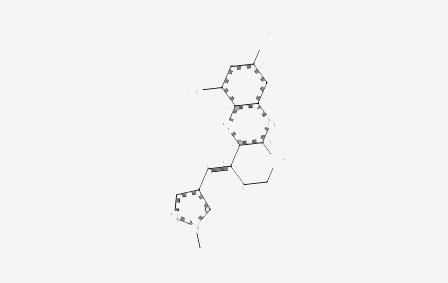 Cn1cc(C=C2CCOc3nc4cc(F)cc(Br)c4nc32)cn1